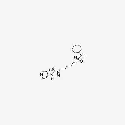 N=C(NCCCCCCS(=O)(=O)NC1CCCCCC1)Nc1ccncc1